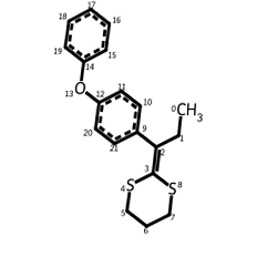 CCC(=C1SCCCS1)c1ccc(Oc2ccccc2)cc1